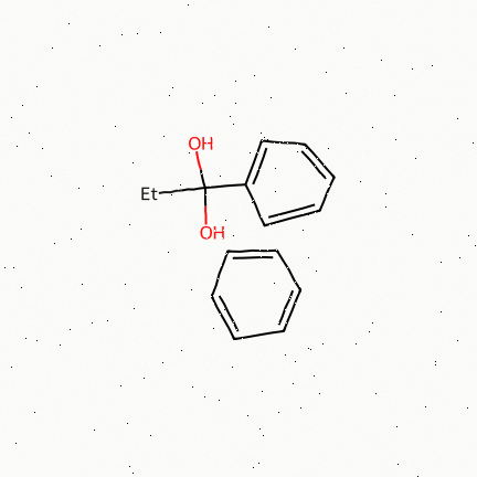 CCC(O)(O)c1ccccc1.c1ccccc1